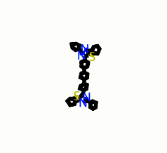 c1ccc(-c2nc(-c3ccc(-c4ccc(-c5ccc(-c6nc(-c7ccccc7)nc7c6sc6ccccc67)cc5)cc4)cc3)c3sc4ccccc4c3n2)cc1